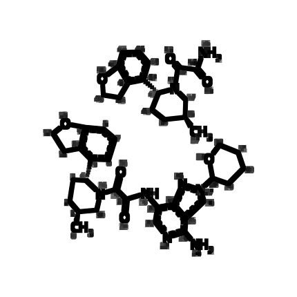 C[C@H]1CC[C@H](c2cccc3c2CCO3)N(C(=O)C(=O)Nc2cnc(N)c3cn(C4CCCCO4)nc23)C1.C[C@H]1CC[C@H](c2cccc3c2CCO3)N(C(=O)C(N)=O)C1